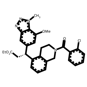 CCOC(=O)C[C@H](c1cc(OC)c2c(c1)nnn2C)c1cccc2c1CCN(C(=O)c1ccccc1Cl)C2